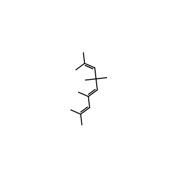 CC(C)=C/C(C)=C/C(C)(C)C=C(C)C